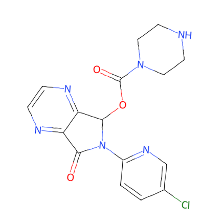 O=C(OC1c2nccnc2C(=O)N1c1ccc(Cl)cn1)N1CCNCC1